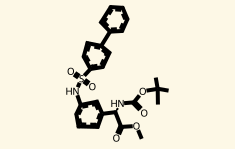 COC(=O)[C@@H](NC(=O)OC(C)(C)C)c1cccc(NS(=O)(=O)c2ccc(-c3ccccc3)cc2)c1